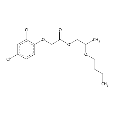 CCCCOC(C)COC(=O)COc1ccc(Cl)cc1Cl